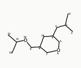 CC(C)CC1COCC(COC(C)C)C1